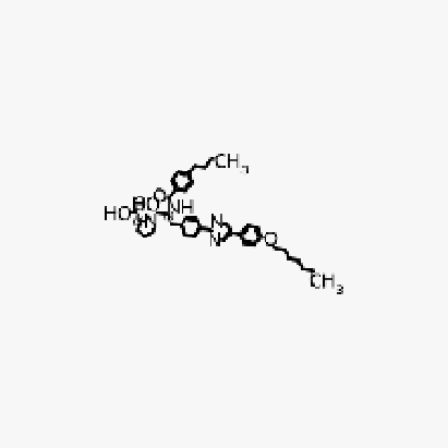 CCCCCCCOc1ccc(-c2cnc(-c3ccc(C[C@H](NC(=O)c4ccc(CCCC)cc4)C(O)N4CCC[C@H]4C(=O)O)cc3)nc2)cc1